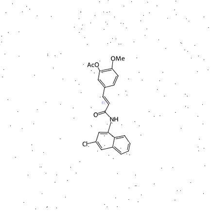 COc1ccc(/C=C/C(=O)Nc2cc(Cl)cc3ccccc23)cc1OC(C)=O